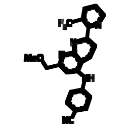 COCc1cc(Nc2ccc(C#N)cc2)c2ccc(-c3ncccc3C(F)(F)F)nc2n1